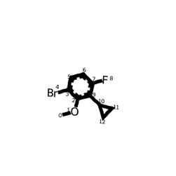 COc1c(Br)ccc(F)c1C1CC1